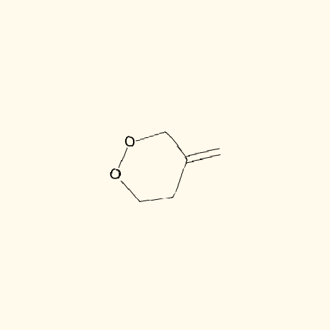 C=C1CCOOC1